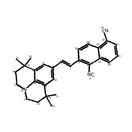 [C-]#[N+]c1c(C=Cc2cc3c4c(c2)C(C)(C)CCN4CCC3(C)C)ccc2c(C#N)cccc12